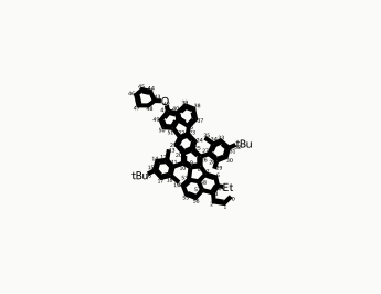 C/C=C\C1=C(CC)C=C2c3c(c(-c4c(C)cc(C(C)(C)C)cc4C)c4cc5c(cc4c3-c3c(C)cc(C(C)(C)C)cc3C)-c3cccc4c(OC6C=CC=CC6)ccc-5c34)C3=CC=CC1C23